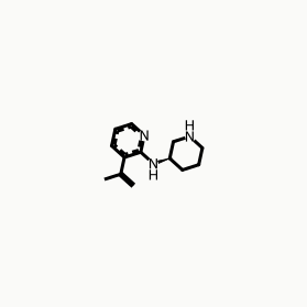 C=C(C)c1cccnc1N[C@@H]1CCCNC1